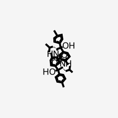 Cc1ccc(C(O)(c2ccc(C)cc2)[C@@H](CC(C)C)NC(=O)C(=O)N[C@H](CC(C)C)C(O)(c2ccc(C)cc2)c2ccc(C)cc2)cc1